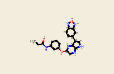 C=CC(=O)Nc1cccc(Oc2cnc3[nH]cc(-c4ccc5nonc5c4)c3n2)c1